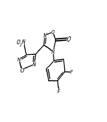 O=c1onc(-c2nonc2[N+](=O)[O-])n1-c1ccc(F)c(F)c1